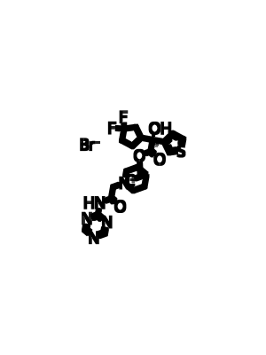 O=C(C[N+]12CCC(CC1)C(OC(=O)[C@](O)(c1ccsc1)C1CCC(F)(F)C1)C2)Nc1ncncn1.[Br-]